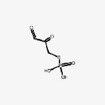 O=CC(=O)COP(=O)(O)O